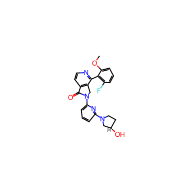 COc1cccc(F)c1-c1nccc2c1CN(c1cccc(N3CC[C@@H](O)C3)n1)C2=O